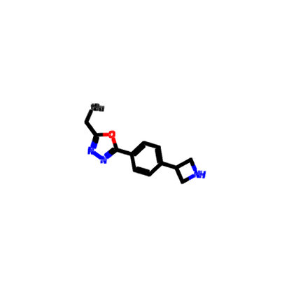 CC(C)(C)Cc1nnc(-c2ccc(C3CNC3)cc2)o1